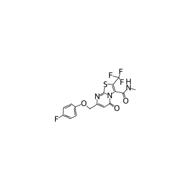 CNC(=O)c1c(C(F)(F)F)sc2nc(COc3ccc(F)cc3)cc(=O)n12